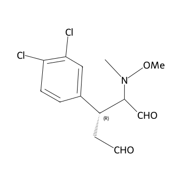 CON(C)C(C=O)[C@H](CC=O)c1ccc(Cl)c(Cl)c1